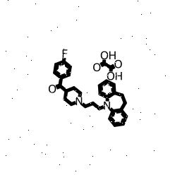 O=C(O)C(=O)O.O=C(c1ccc(F)cc1)C1CCN(CCCN2c3ccccc3CCc3ccccc32)CC1